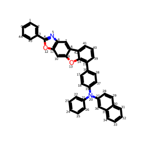 c1ccc(-c2nc3cc4c(cc3o2)oc2c(-c3ccc(N(c5ccccc5)c5ccc6ccccc6c5)cc3)cccc24)cc1